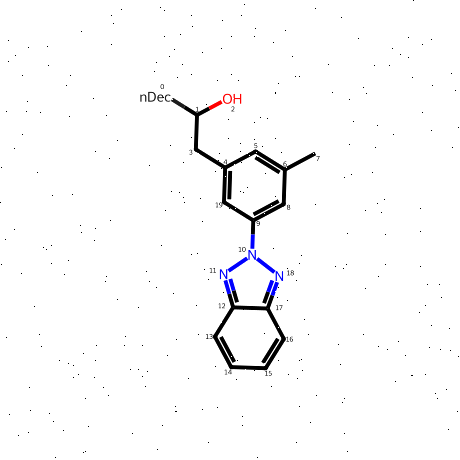 CCCCCCCCCCC(O)Cc1cc(C)cc(-n2nc3ccccc3n2)c1